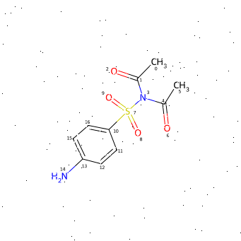 CC(=O)N(C(C)=O)S(=O)(=O)c1ccc(N)cc1